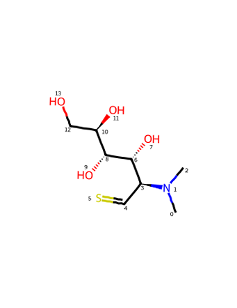 CN(C)[C@@H](C=S)[C@@H](O)[C@H](O)[C@H](O)CO